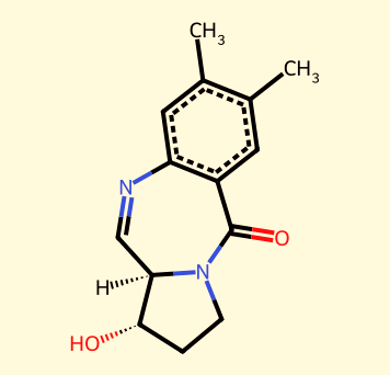 Cc1cc2c(cc1C)C(=O)N1CC[C@H](O)[C@H]1C=N2